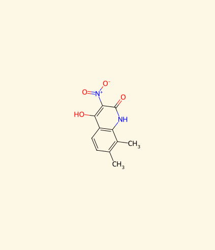 Cc1ccc2c(O)c([N+](=O)[O-])c(=O)[nH]c2c1C